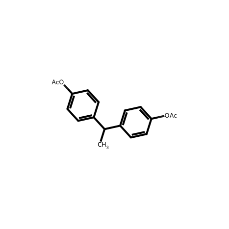 CC(=O)Oc1ccc(C(C)c2ccc(OC(C)=O)cc2)cc1